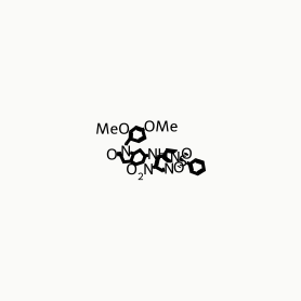 COc1ccc(CN2C(=O)CC3CCC(Nc4c([N+](=O)[O-])cnc5c4ccn5S(=O)(=O)c4ccccc4)CC32)c(OC)c1